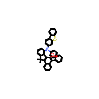 CC1(C)c2cccc(N(c3ccccc3)c3ccc4c(c3)sc3ccccc34)c2-c2c1c1ccccc1c1c2oc2ccccc21